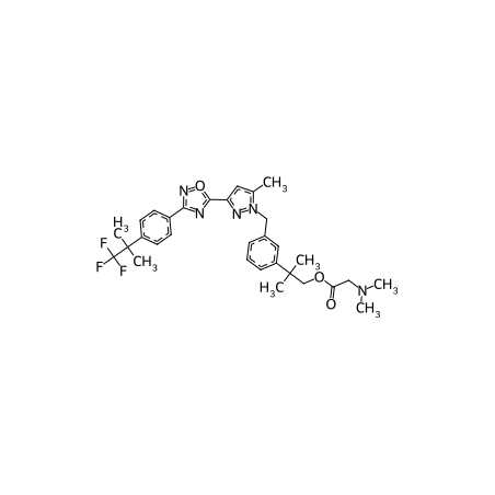 Cc1cc(-c2nc(-c3ccc(C(C)(C)C(F)(F)F)cc3)no2)nn1Cc1cccc(C(C)(C)COC(=O)CN(C)C)c1